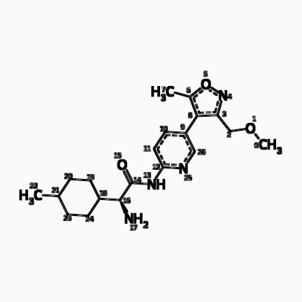 COCc1noc(C)c1-c1ccc(NC(=O)[C@@H](N)C2CCC(C)CC2)nc1